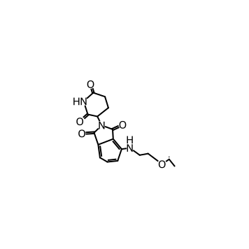 C[CH]OCCNc1cccc2c1C(=O)N(C1CCC(=O)NC1=O)C2=O